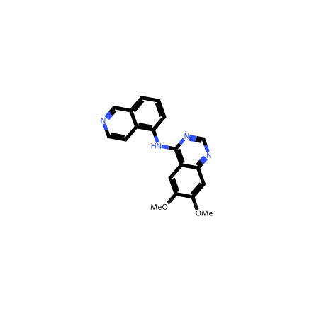 COc1cc2ncnc(Nc3cccc4cnccc34)c2cc1OC